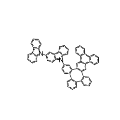 c1ccc2c(c1)-c1ccccc1-c1cc3c4ccccc4c4ccccc4c3cc1-c1cc(-n3c4ccccc4c4cc(-n5c6ccccc6c6ccccc65)ccc43)ccc1-2